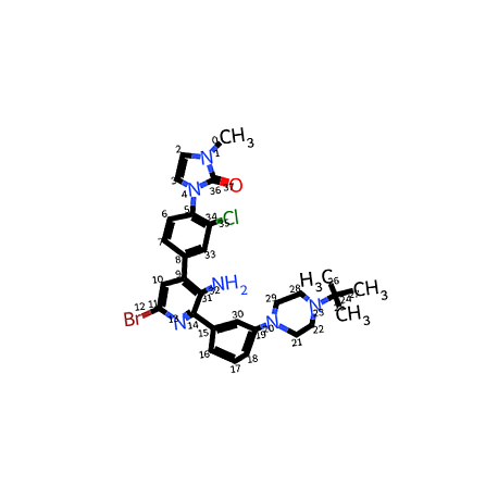 Cn1ccn(-c2ccc(-c3cc(Br)nc(-c4cccc(N5CCN(C(C)(C)C)CC5)c4)c3N)cc2Cl)c1=O